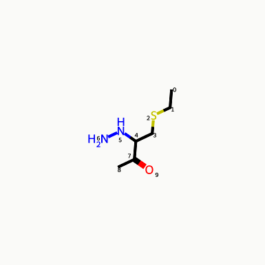 CCSCC(NN)C(C)=O